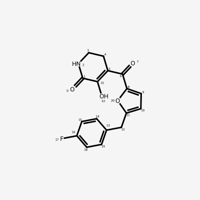 O=C1NCCC(C(=O)c2ccc(Cc3ccc(F)cc3)o2)=C1O